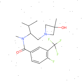 CC(C)C(CN1CC(C)(O)C1)N(C)C(=O)c1ccc(F)c(C(F)(F)F)c1